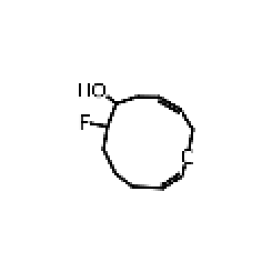 OC1CC=CCCC=CCCCC1F